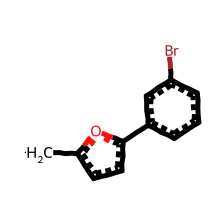 [CH2]c1ccc(-c2cccc(Br)c2)o1